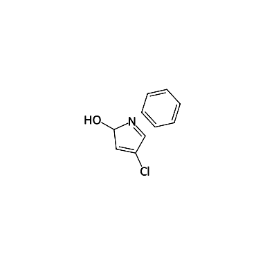 OC1C=C(Cl)C=N1.c1ccccc1